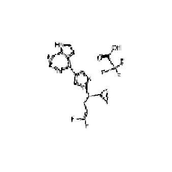 FC(F)=CCC(C1CC1)n1cc(-c2ncnc3[nH]ccc23)cn1.O=C(O)C(F)(F)F